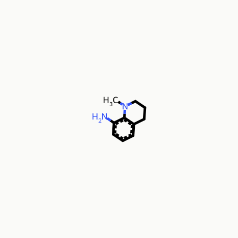 CN1CCCc2cccc(N)c21